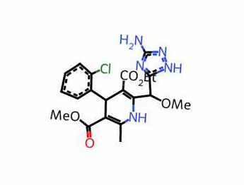 CCOC(=O)C1=C(C(OC)c2nc(N)n[nH]2)NC(C)=C(C(=O)OC)C1c1ccccc1Cl